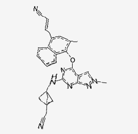 Cc1cc(/C=C/C#N)c2ccccc2c1Oc1nc(NC23CC(C#N)(C2)C3)nc2nn(C)cc12